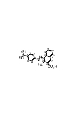 CCN(CC)c1ccc(N=Nc2c(O)c(C(=O)O)cc3ccccc23)cc1